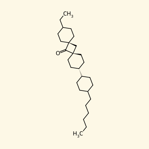 CCCCCCC1CCC([C@H]2CC[C@]3(CC2)C[C@@]2(CCC(CC)CC2)C3=O)CC1